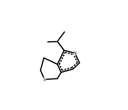 CC(C)c1nccc2c1CCSC2